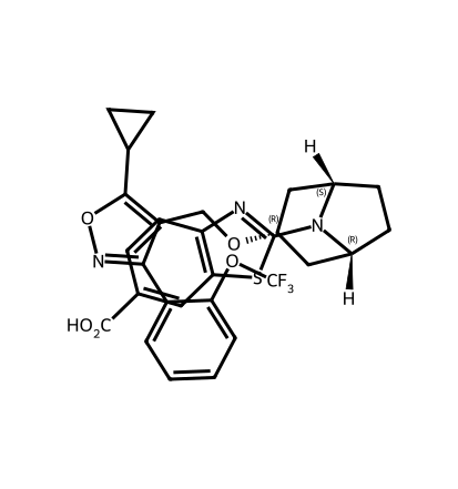 O=C(O)c1ccc2nc(N3[C@@H]4CC[C@H]3C[C@@H](OCc3c(-c5ccccc5OC(F)(F)F)noc3C3CC3)C4)sc2c1